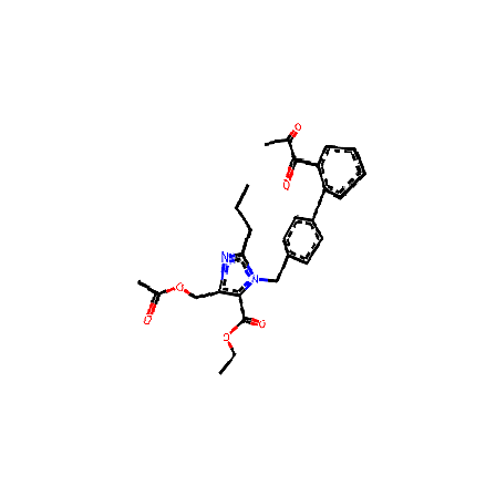 CCCc1nc(COC(C)=O)c(C(=O)OCC)n1Cc1ccc(-c2ccccc2C(=O)C(C)=O)cc1